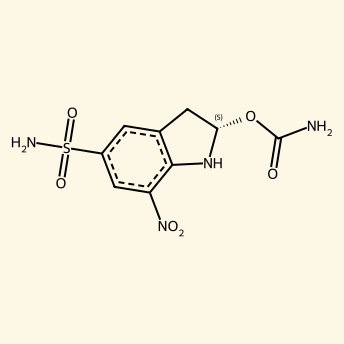 NC(=O)O[C@H]1Cc2cc(S(N)(=O)=O)cc([N+](=O)[O-])c2N1